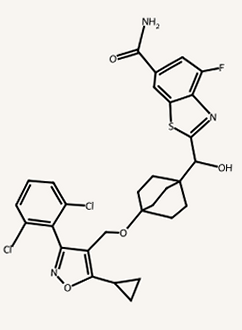 NC(=O)c1cc(F)c2nc(C(O)C34CCC(OCc5c(-c6c(Cl)cccc6Cl)noc5C5CC5)(CC3)CC4)sc2c1